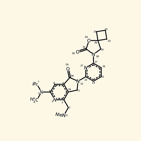 CNCc1nc(N(C)C(C)C)cc2c1CN(c1cccc(N3CC4(CCC4)OC3=O)n1)C2=O